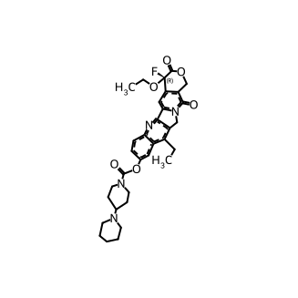 CCO[C@]1(F)C(=O)OCc2c1cc1n(c2=O)Cc2c-1nc1ccc(OC(=O)N3CCC(N4CCCCC4)CC3)cc1c2CC